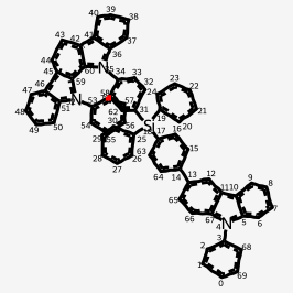 c1ccc(-n2c3ccccc3c3cc(-c4ccc([Si](c5ccccc5)(c5ccccc5)c5ccc(-n6c7ccccc7c7ccc8c9ccccc9n(-c9ccccc9)c8c76)cc5)cc4)ccc32)cc1